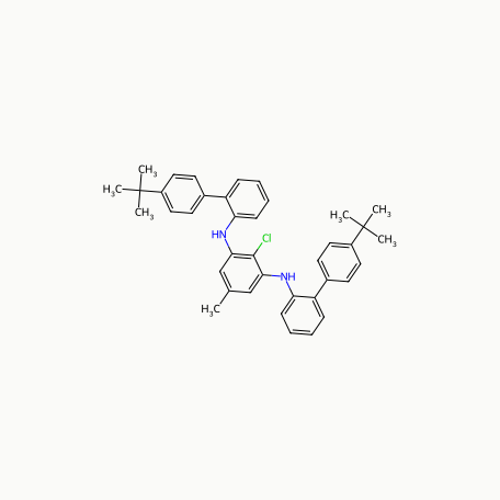 Cc1cc(Nc2ccccc2-c2ccc(C(C)(C)C)cc2)c(Cl)c(Nc2ccccc2-c2ccc(C(C)(C)C)cc2)c1